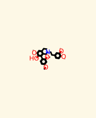 COc1ccc(-c2c(O)c(OC)cc3c2CN(CCc2ccc(OC)c(OC)c2)CC3)c(OC)c1